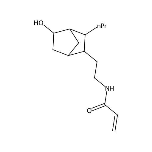 C=CC(=O)NCCC1C2CC(O)C(C2)C1CCC